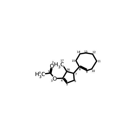 CC(=O)OC1=CCC(C2=CCCCCCC2)C1C